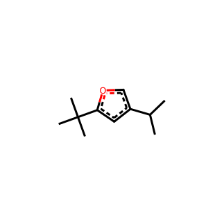 CC(C)c1coc(C(C)(C)C)c1